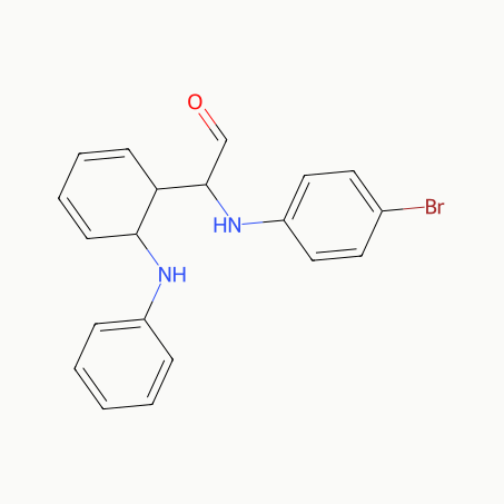 O=CC(Nc1ccc(Br)cc1)C1C=CC=CC1Nc1ccccc1